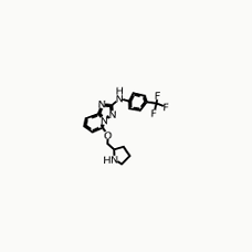 FC(F)(F)c1ccc(Nc2nc3cccc(OCC4CCCN4)n3n2)cc1